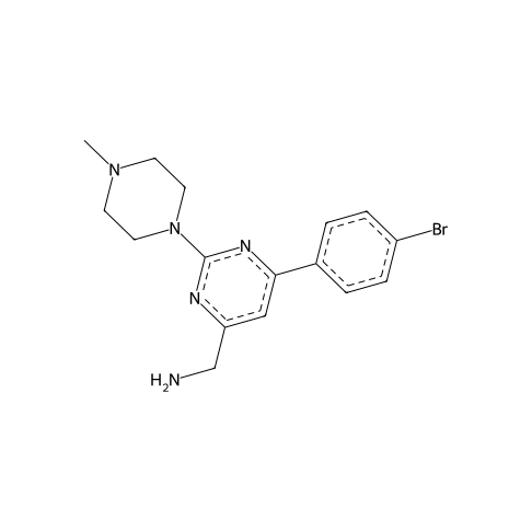 CN1CCN(c2nc(CN)cc(-c3ccc(Br)cc3)n2)CC1